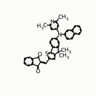 Cc1cc(N(c2ccc3c(c2)C(C)(C)c2cc(C=C4C(=O)c5ccccc5C4=O)sc2-3)c2ccc3ccccc3c2)cc(C)n1